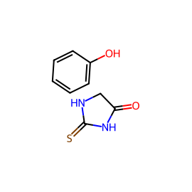 O=C1CNC(=S)N1.Oc1ccccc1